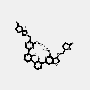 COc1nc(-c2cccc(-c3cccc(-c4cc5c(c(OC)n4)C(NCC4CCC(=O)N4)CO5)c3F)c2Cl)cnc1CN1CC2(CCC(=O)N2)C1